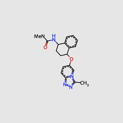 CNC(=O)NC1CCC(Oc2ccc3nnc(C)n3c2)c2ccccc21